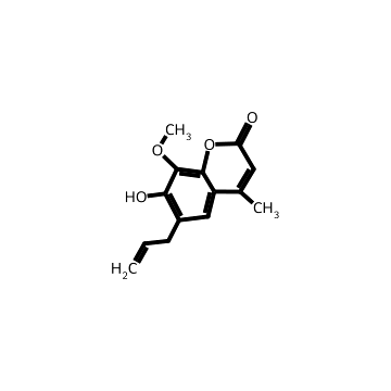 C=CCc1cc2c(C)cc(=O)oc2c(OC)c1O